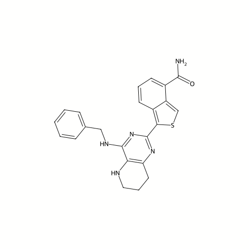 NC(=O)c1cccc2c(-c3nc4c(c(NCc5ccccc5)n3)NCCC4)scc12